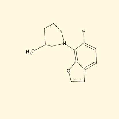 CC1CCCN(c2c(F)ccc3ccoc23)C1